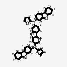 c1coc(N(c2ccc3c(c2)oc2ccccc23)c2ccc3c(c2)sc2cc(N(c4ccc5c(c4)oc4ccccc45)c4ccco4)cnc23)c1